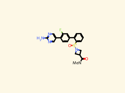 CNC(=O)C1CN([S+]([O-])c2ccccc2-c2ccc(-c3cnc(N)nc3)c(F)c2)C1